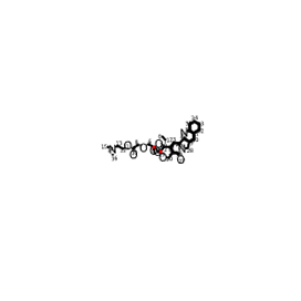 CC[C@@]1(OC(=O)COCC(=O)OCCN(C)C)C(=O)OCc2c1cc1n(c2=O)Cc2cc3ccccc3nc2-1